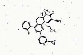 CCC[C@@]12C=C(C#N)C(=O)[C@H](C)[C@H]1CCc1c(-c3ccccc3F)nc(-c3ccnc(C4CC4)c3)nc12